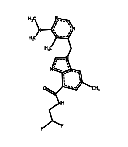 Cc1cc(C(=O)NCC(F)F)c2ncn(Cc3ncnc(N(C)C)c3C)c2c1